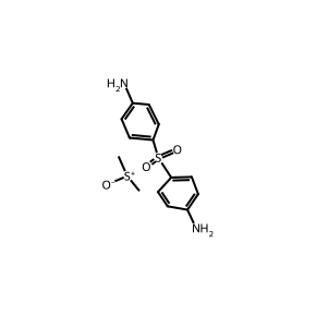 C[S+](C)[O-].Nc1ccc(S(=O)(=O)c2ccc(N)cc2)cc1